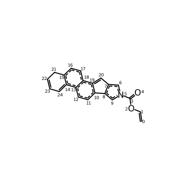 C=COC(=O)n1cc2c(c1)-c1ccc3c4c(ccc3c1=C2)CC=CC=4